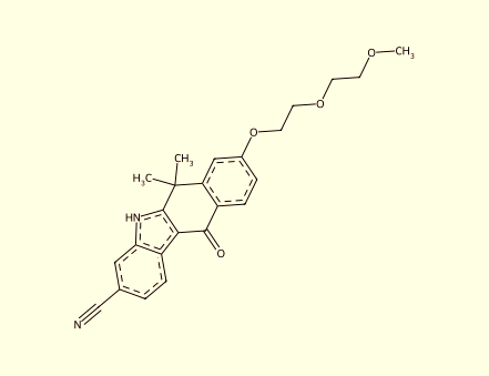 COCCOCCOc1ccc2c(c1)C(C)(C)c1[nH]c3cc(C#N)ccc3c1C2=O